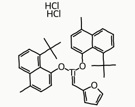 Cc1ccc([O][Ti](=[CH]c2ccco2)[O]c2ccc(C)c3cccc(C(C)(C)C)c23)c2c(C(C)(C)C)cccc12.Cl.Cl